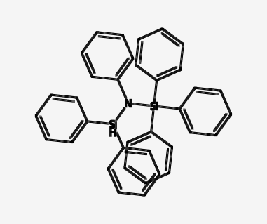 c1ccc(N([SiH](c2ccccc2)c2ccccc2)[Si](c2ccccc2)(c2ccccc2)c2ccccc2)cc1